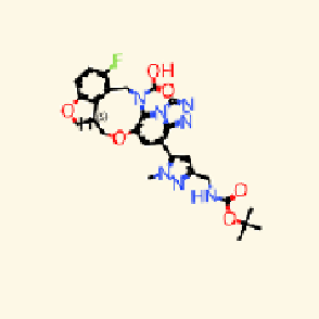 Cn1nc(CNC(=O)OC(C)(C)C)cc1-c1cc2c(n3cnnc13)N(C(=O)O)Cc1c(F)ccc3c1[C@@H](CO3)CO2